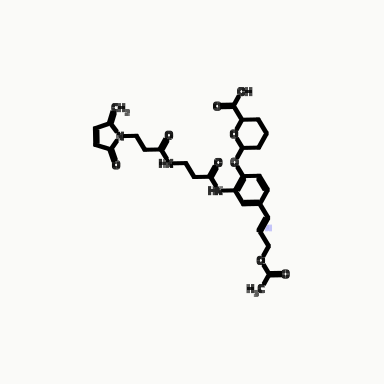 C=C1C=CC(=O)N1CCC(=O)NCCC(=O)Nc1cc(/C=C/COC(C)=O)ccc1OC1CCCC(C(=O)O)O1